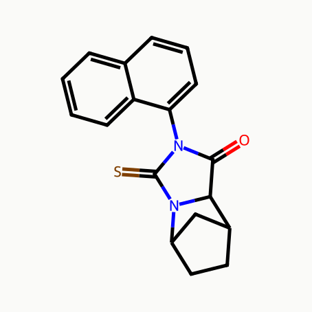 O=C1C2C3CCC(C3)N2C(=S)N1c1cccc2ccccc12